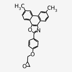 Cc1ccc2c(c1)c1cc(C)ccc1c1oc(-c3ccc(OCC4CO4)cc3)nc21